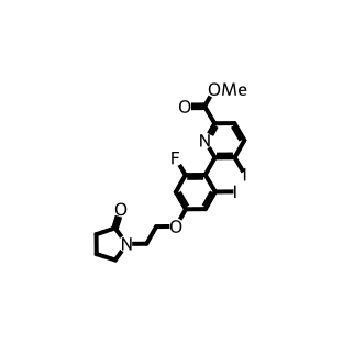 COC(=O)c1ccc(I)c(-c2c(F)cc(OCCN3CCCC3=O)cc2I)n1